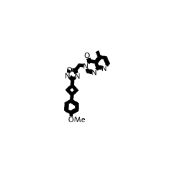 COc1ccc(C2CC(c3noc(Cn4cnc5nccc(C)c5c4=O)n3)C2)cc1